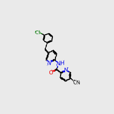 N#Cc1ccc(C(=O)Nc2ccc(Cc3cccc(Cl)c3)cn2)nc1